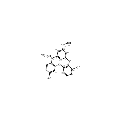 Br.Br.N#Cc1ccc(Nc2nc(Cc3c(Cl)cccc3Cl)cc(NO)n2)cc1